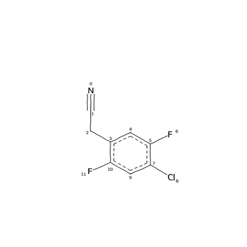 N#CCc1cc(F)c(Cl)cc1F